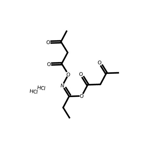 CCC(=NOC(=O)CC(C)=O)OC(=O)CC(C)=O.Cl.Cl